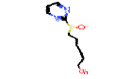 [O-][S+](CCCCCO)c1ncccn1